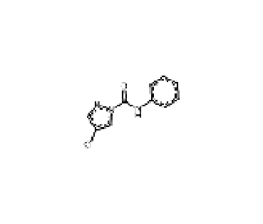 O=C(Nc1ccccc1)n1cc(Cl)cn1